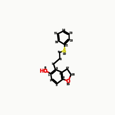 Oc1ccc2c(c1CCCSc1ccccc1)CCO2